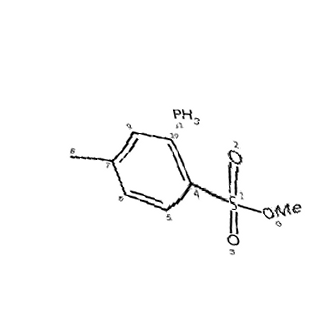 COS(=O)(=O)c1ccc(C)cc1.P